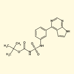 CC(C)(C)OC(=O)NS(=O)(=O)Nc1cccc(-c2ncnc3[nH]ccc23)c1